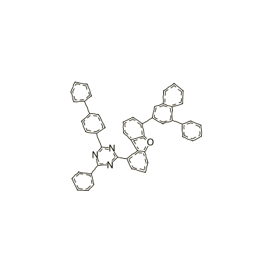 c1ccc(-c2ccc(-c3nc(-c4ccccc4)nc(-c4cccc5oc6c(-c7cc(-c8ccccc8)c8ccccc8c7)cccc6c45)n3)cc2)cc1